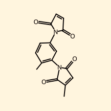 CC1=CC(=O)N(c2cc(N3C(=O)C=CC3=O)ccc2C)C1=O